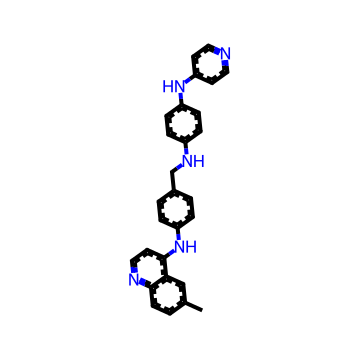 Cc1ccc2nccc(Nc3ccc(CNc4ccc(Nc5ccncc5)cc4)cc3)c2c1